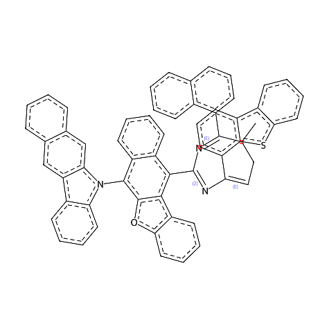 CC1C/C=C(c2cccc3c2sc2ccccc23)/N=C(c2c3ccccc3c(-n3c4ccccc4c4cc5ccccc5cc43)c3oc4ccccc4c23)\N=C/1c1cccc2ccccc12